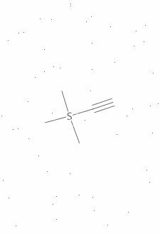 C#CS(C)(C)C